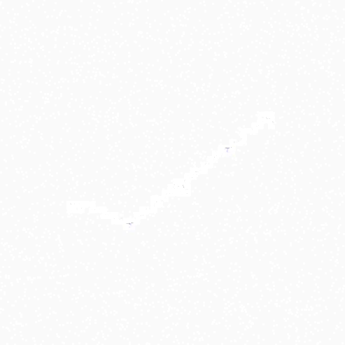 CCCCCCC/C=C/CCCCCCCCC(=O)OCCCCCCCC/C=C\CCCCCCCC